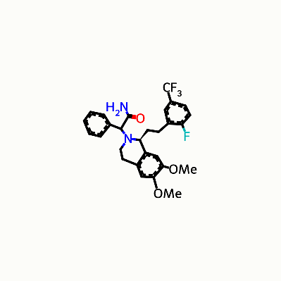 COc1cc2c(cc1OC)[C@H](CCc1cc(C(F)(F)F)ccc1F)N(C(C(N)=O)c1ccccc1)CC2